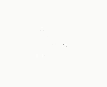 [PH2][Zr][Mo].[V].[W]